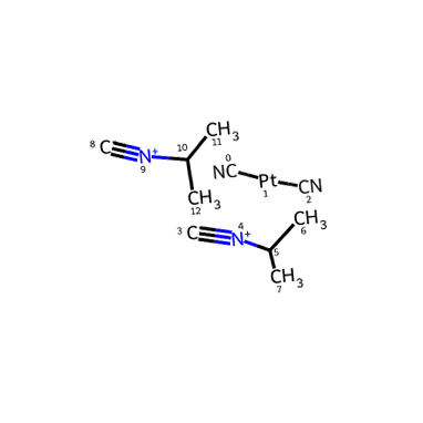 N#[C][Pt][C]#N.[C-]#[N+]C(C)C.[C-]#[N+]C(C)C